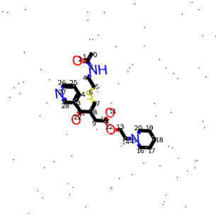 CC(=O)NCCSCC(CC(=O)OCCN1CCCCC1)C(=O)c1cccnc1